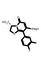 CCCCCCCc1cc(=O)n2c(c1-c1ccc(F)c(F)c1)SC[C@@H]2C(=O)O